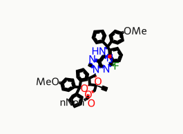 C#C[C@]1(COC(=O)CCCCCCCCC)O[C@@H](n2cnc3c(NC(c4ccccc4)(c4ccccc4)c4ccc(OC)cc4)nc(F)nc32)C[C@@H]1OC(c1ccccc1)(c1ccccc1)c1ccc(OC)cc1